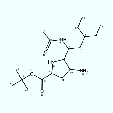 CCC(CC)CC(NC(C)=O)C1NC(C(=O)OC(C)(C)C)CC1N